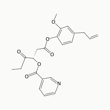 C=CCc1ccc(OC(=O)C[C@H](OC(=O)c2cccnc2)C(=O)CC)c(OC)c1